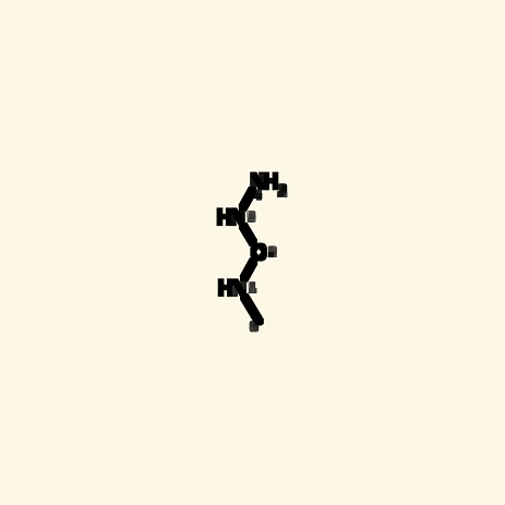 CNONN